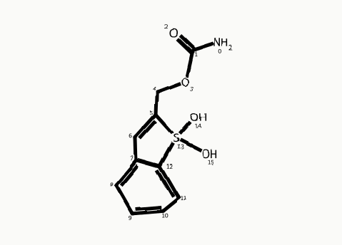 NC(=O)OCC1=Cc2ccccc2S1(O)O